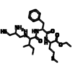 CCOC(=O)C(CCSC)NC(=O)C(Cc1ccccc1)NC(=O)C(NCC(N)CS)C(C)CC